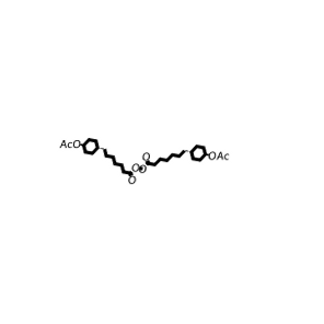 CC(=O)O[C@H]1CC[C@H](CCCCCCC(=O)OOC(=O)CCCCCC[C@H]2CC[C@H](OC(C)=O)CC2)CC1